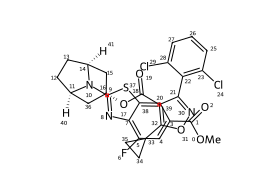 COC(=O)c1cc(F)c2nc(N3[C@@H]4CC[C@H]3C[C@H](OC(=O)c3c(-c5c(Cl)cccc5Cl)noc3C3CC3)C4)sc2c1